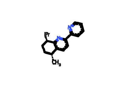 CC(C)[C@@H]1CC[C@@H](C)c2ccc(-c3ccccn3)nc21